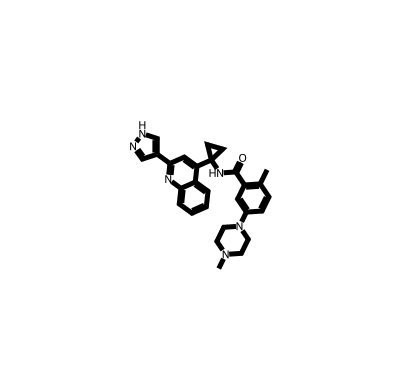 Cc1ccc(N2CCN(C)CC2)cc1C(=O)NC1(c2cc(-c3cn[nH]c3)nc3ccccc23)CC1